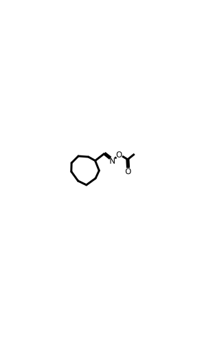 CC(=O)O/N=C/C1CCCCCCCC1